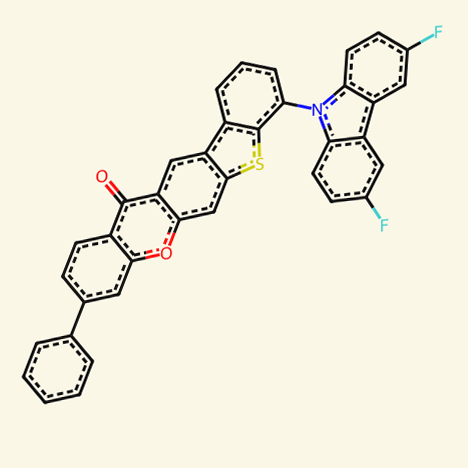 O=c1c2ccc(-c3ccccc3)cc2oc2cc3sc4c(-n5c6ccc(F)cc6c6cc(F)ccc65)cccc4c3cc12